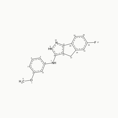 COc1cccc(Nc2[nH]nc3c2Cc2cc(F)ccc2-3)c1